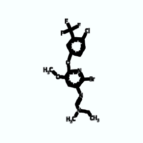 CCN(C)/C=N/c1cc(OC)c(Oc2ccc(Cl)c(C(F)(F)F)c2)nc1Br